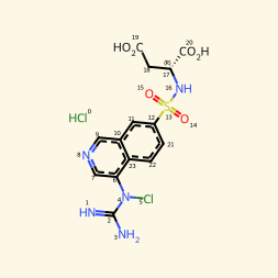 Cl.N=C(N)N(Cl)c1cncc2cc(S(=O)(=O)N[C@H](CC(=O)O)C(=O)O)ccc12